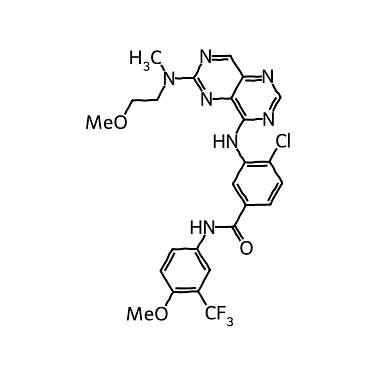 COCCN(C)c1ncc2ncnc(Nc3cc(C(=O)Nc4ccc(OC)c(C(F)(F)F)c4)ccc3Cl)c2n1